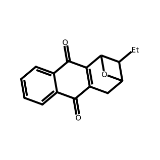 CCC1C2CC3=C(C(=O)c4ccccc4C3=O)C1O2